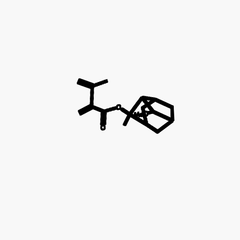 C=C(C)C(=C)C(=O)OC1(C)C2CC3CC(C2)C1C3OC